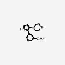 COc1cccc(-c2[nH]ccc2N2CCNCC2)c1